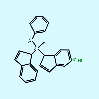 Cl.Cl.[CH3][Zr]([SiH2]c1ccccc1)([CH]1C=Cc2ccccc21)[CH]1C=Cc2ccccc21